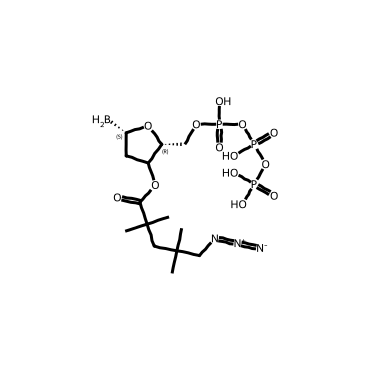 B[C@H]1CC(OC(=O)C(C)(C)CC(C)(C)CN=[N+]=[N-])[C@@H](COP(=O)(O)OP(=O)(O)OP(=O)(O)O)O1